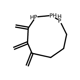 C=C1CCCPPPC(=C)C1=C